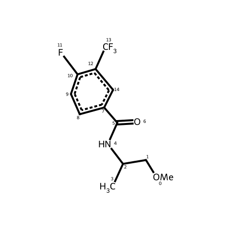 COCC(C)NC(=O)c1ccc(F)c(C(F)(F)F)c1